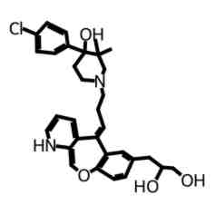 CC1(C)CN(CC/C=C2\C3=CC=CNC3=COc3ccc(CC(O)CO)cc32)CCC1(O)c1ccc(Cl)cc1